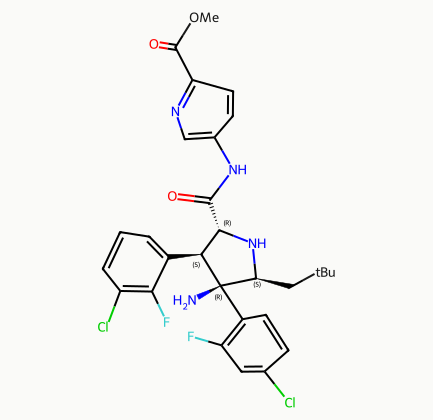 COC(=O)c1ccc(NC(=O)[C@@H]2N[C@@H](CC(C)(C)C)[C@](N)(c3ccc(Cl)cc3F)[C@H]2c2cccc(Cl)c2F)cn1